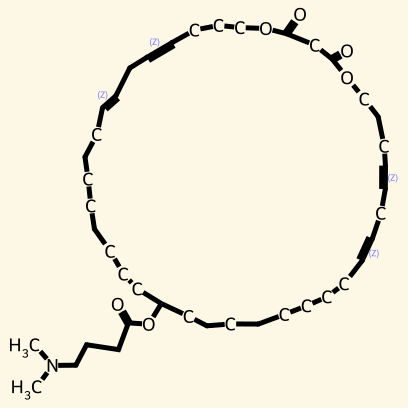 CN(C)CCCC(=O)OC1CCCCCCCC/C=C\C/C=C\CCCOC(=O)CC(=O)OCCC/C=C\C/C=C\CCCCCCCC1